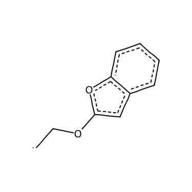 [CH2]COc1cc2ccccc2o1